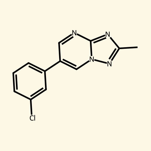 Cc1nc2ncc(-c3cccc(Cl)c3)cn2n1